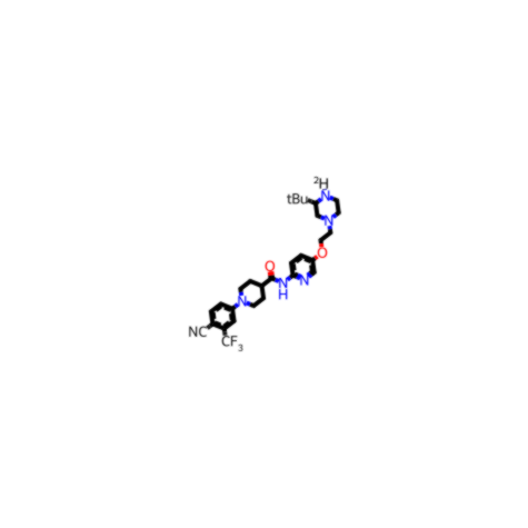 [2H]N1CCN(CCOc2ccc(NC(=O)C3CCN(c4ccc(C#N)c(C(F)(F)F)c4)CC3)nc2)CC1C(C)(C)C